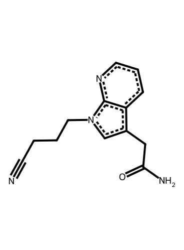 N#CCCCn1cc(CC(N)=O)c2cccnc21